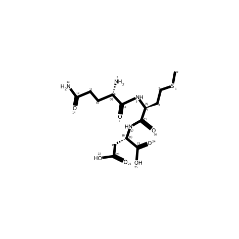 CSCC[C@H](NC(=O)[C@@H](N)CCC(N)=O)C(=O)N[C@@H](CC(=O)O)C(=O)O